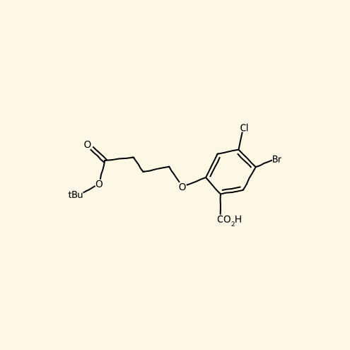 CC(C)(C)OC(=O)CCCOc1cc(Cl)c(Br)cc1C(=O)O